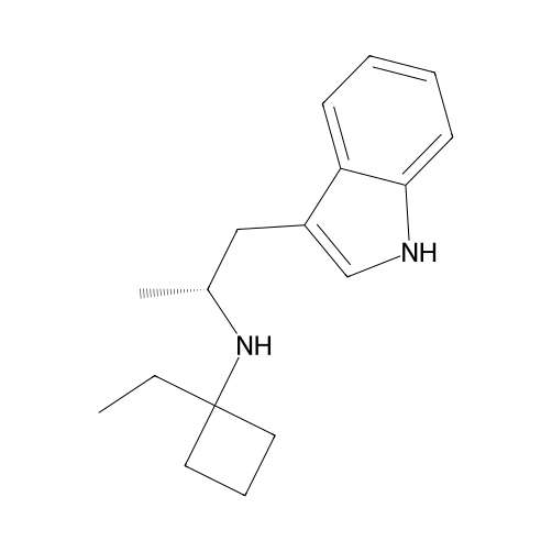 CCC1(N[C@H](C)Cc2c[nH]c3ccccc23)CCC1